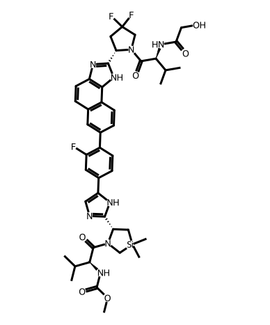 COC(=O)N[C@H](C(=O)N1C[Si](C)(C)C[C@H]1c1ncc(-c2ccc(-c3ccc4c(ccc5nc([C@@H]6CC(F)(F)CN6C(=O)[C@@H](NC(=O)CO)C(C)C)[nH]c54)c3)c(F)c2)[nH]1)C(C)C